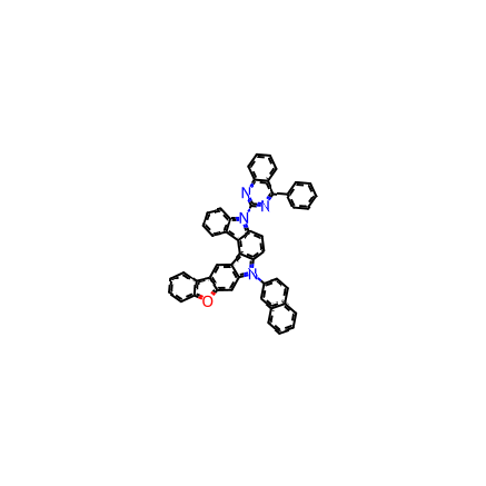 c1ccc(-c2nc(-n3c4ccccc4c4c5c6cc7c(cc6n(-c6ccc8ccccc8c6)c5ccc43)oc3ccccc37)nc3ccccc23)cc1